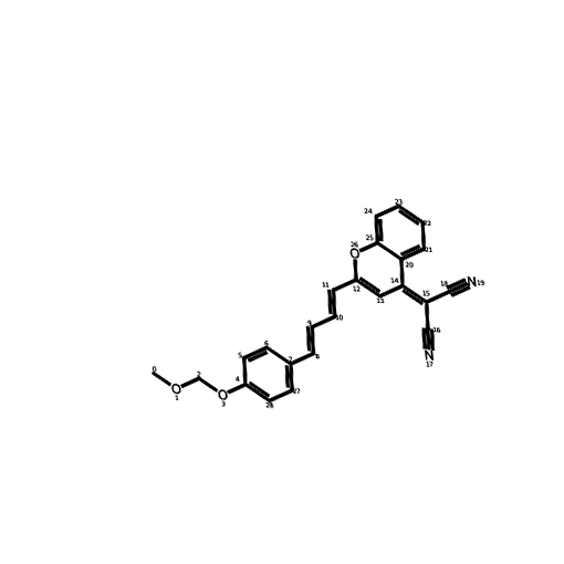 COCOc1ccc(/C=C/C=C/C2=CC(=C(C#N)C#N)c3ccccc3O2)cc1